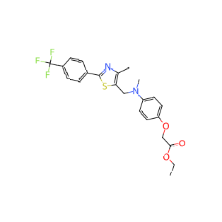 CCOC(=O)COc1ccc(N(C)Cc2sc(-c3ccc(C(F)(F)F)cc3)nc2C)cc1